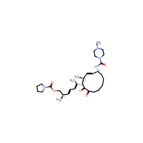 C/C(=C\C=C\[C@@H](C)COC(=O)N1CCCC1)[C@H]1C(=O)C(=O)CCCCC[C@@H](NC(=O)N2CCN(C)CC2)/C=C/[C@@H]1C